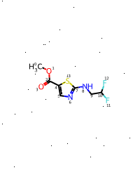 COC(=O)c1cnc(NCC(F)F)s1